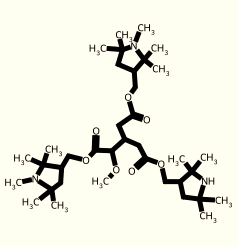 COC(C(=O)OCC1CC(C)(C)N(C)C1(C)C)C(CC(=O)OCC1CC(C)(C)NC1(C)C)CC(=O)OCC1CC(C)(C)N(C)C1(C)C